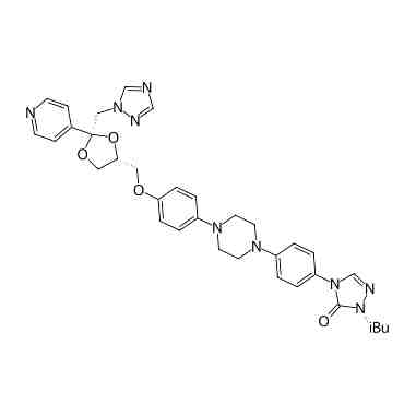 CC[C@@H](C)n1ncn(-c2ccc(N3CCN(c4ccc(OC[C@@H]5CO[C@@](Cn6cncn6)(c6ccncc6)O5)cc4)CC3)cc2)c1=O